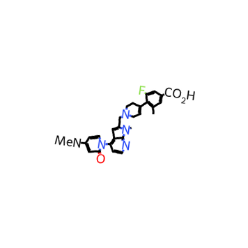 CNc1ccn(-c2ccnc3c2cc(CN2CC=C(c4c(C)cc(C(=O)O)cc4F)CC2)n3C)c(=O)c1